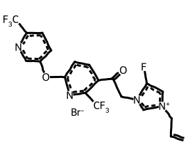 C=CC[n+]1cc(F)n(CC(=O)c2ccc(Oc3ccc(C(F)(F)F)nc3)nc2C(F)(F)F)c1.[Br-]